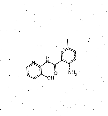 Cc1ccc(N)c(C(=O)Nc2ncccc2O)c1